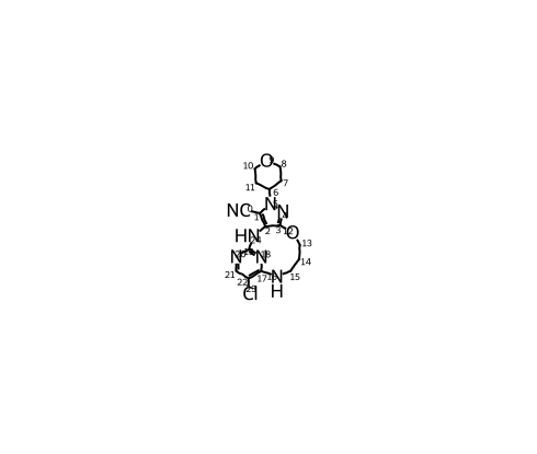 N#Cc1c2c(nn1C1CCOCC1)OCCCNc1nc(ncc1Cl)N2